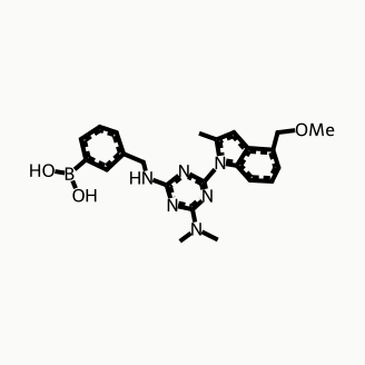 COCc1cccc2c1cc(C)n2-c1nc(NCc2cccc(B(O)O)c2)nc(N(C)C)n1